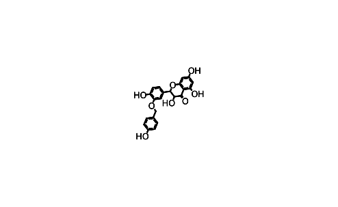 O=C1c2c(O)cc(O)cc2OC(c2ccc(O)c(OCc3ccc(O)cc3)c2)C1O